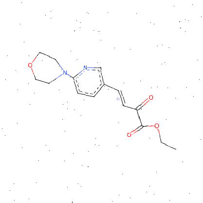 CCOC(=O)C(=O)/C=C/c1ccc(N2CCOCC2)nc1